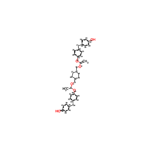 CC(OCC1CCC(COC(C)Oc2ccc(Cc3ccc(O)cc3)cc2)CC1)Oc1ccc(Cc2ccc(O)cc2)cc1